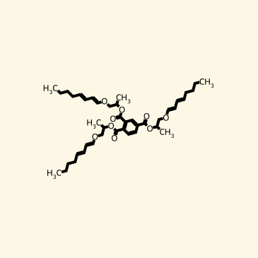 CCCCC=CC=COCC(C)OC(=O)c1ccc(C(=O)OC(C)COC=CC=CCCCC)c(C(=O)OC(C)COC=CC=CCCCC)c1